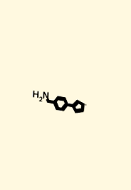 NCc1ccc(C2=C[CH]C=C2)cc1